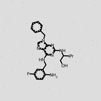 CC(C)C(CO)Nc1nc(NCc2cc(F)ccc2N)c2ncn(Cc3ccccc3)c2n1